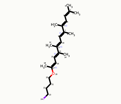 CC(C)=C/C=C(C)/C(C)=C/C=C(C)/C(C)=C/C=C(\C)OCCCCI